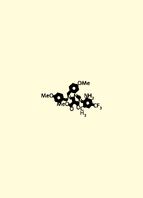 COC(=O)c1c(N(Cc2ccc(OC)cc2)Cc2ccc(OC)cc2)ncn(-c2c(C)cc(C(F)(F)F)cc2N)c1=O